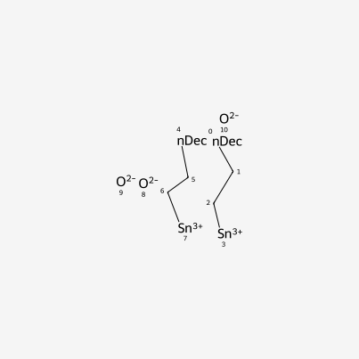 CCCCCCCCCCC[CH2][Sn+3].CCCCCCCCCCC[CH2][Sn+3].[O-2].[O-2].[O-2]